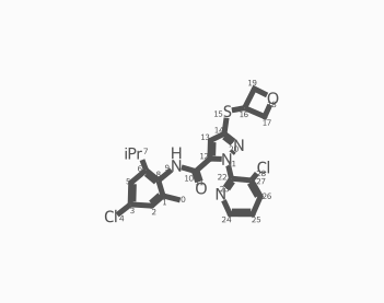 Cc1cc(Cl)cc(C(C)C)c1NC(=O)c1cc(SC2COC2)nn1-c1ncccc1Cl